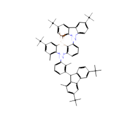 Cc1cc(C(C)(C)C)cc2c1C(c1cccc(N3c4cccc5c4[SH](c4cc(C(C)(C)C)cc(C)c43)c3cc(C(C)(C)C)cc4c6cc(C(C)(C)C)ccc6n-5c34)c1C)c1ccc(C(C)(C)C)cc1-2